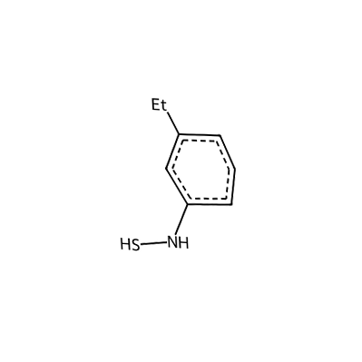 CCc1cccc(NS)c1